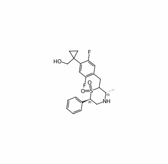 C[C@@H]1NC[C@@H](c2ccccc2)S(=O)(=O)C1Cc1cc(F)c(C2(CO)CC2)cc1F